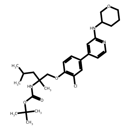 CC(C)CC(C)(COc1ccc(-c2ccnc(NC3CCCOC3)c2)cc1Cl)NC(=O)OC(C)(C)C